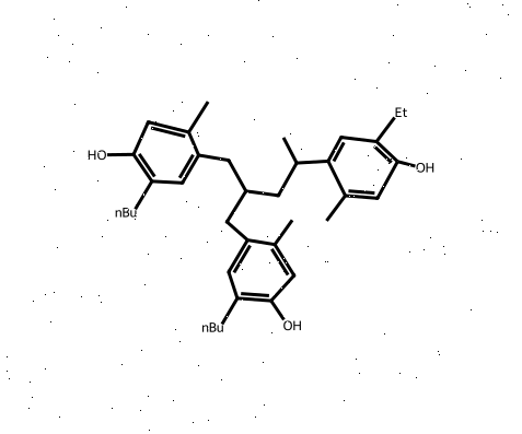 CCCCc1cc(CC(Cc2cc(CCCC)c(O)cc2C)CC(C)c2cc(CC)c(O)cc2C)c(C)cc1O